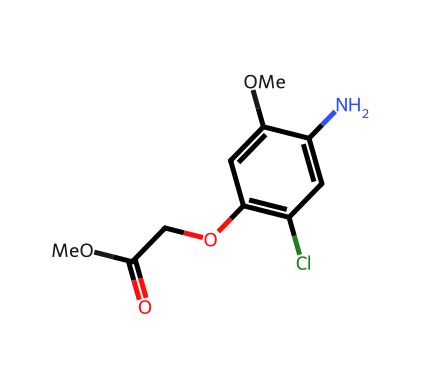 COC(=O)COc1cc(OC)c(N)cc1Cl